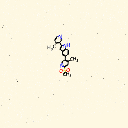 Cc1cc(S(C)(=O)=O)ncc1-c1ccc2[nH]c(-c3cnccc3C)cc2c1